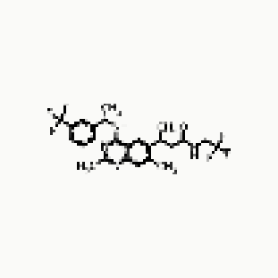 Cc1nc(N[C@H](C)c2cccc(C(F)(F)F)c2)c2cc(C(C)CC(=O)NCC(F)(F)F)c(C)cc2n1